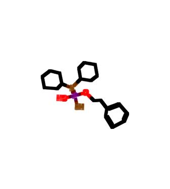 OP(S)(OCCc1ccccc1)=S(C1CCCCC1)C1CCCCC1